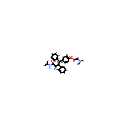 CC(C)NC(=O)c1[nH]c2ccccc2c1C(c1ccccc1)c1ccc(OCCN(C)C)cc1